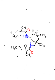 CCCC(C)(C)C(=O)NCC1(C)CC(NC(=O)C(C)(CC)CC)CC(C)(C)C1